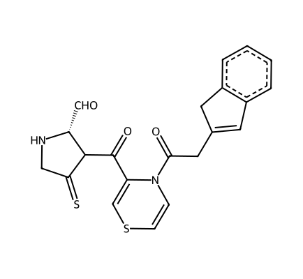 O=C[C@H]1NCC(=S)C1C(=O)C1=CSC=CN1C(=O)CC1=Cc2ccccc2C1